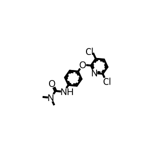 CN(C)C(=O)Nc1ccc(Oc2nc(Cl)ccc2Cl)cc1